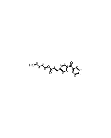 O=C(/C=C/c1ccc(C(=O)c2ccccc2)cc1)OCCCCO